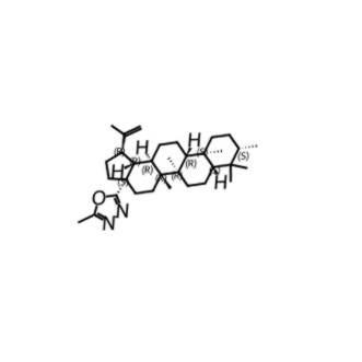 C=C(C)[C@@H]1CC[C@]2(c3nnc(C)o3)CC[C@]3(C)[C@H](CC[C@@H]4[C@@]5(C)CC[C@H](C)C(C)(C)[C@@H]5CC[C@]43C)[C@@H]12